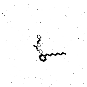 CCCCCCCCc1ccccc1OCC(C)OCC[O]